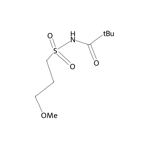 COCCCS(=O)(=O)NC(=O)C(C)(C)C